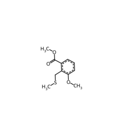 COC(=O)c1cccc(OC)c1CSC